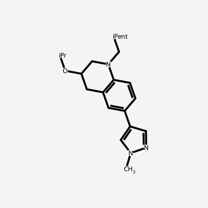 CCCC(C)CN1CC(OC(C)C)Cc2cc(-c3cnn(C)c3)ccc21